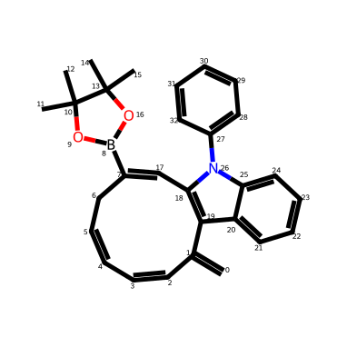 C=C1/C=C\C=C/C/C(B2OC(C)(C)C(C)(C)O2)=C\c2c1c1ccccc1n2-c1ccccc1